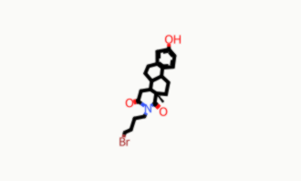 C[C@]12CCC3c4ccc(O)cc4CCC3C1CC(=O)N(CCCCBr)C2=O